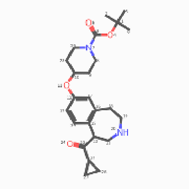 CC(C)(C)OC(=O)N1CCC(Oc2ccc3c(c2)CCNCC3C(=O)C2CC2)CC1